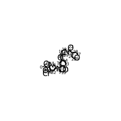 CS(=O)(=O)c1ncc(N2CCOc3ccc(O[C@H]4CCN(C(=O)C5CCOCC5)C4)cc32)cc1Cl